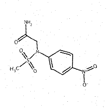 CS(=O)(=O)N(CC(N)=O)c1ccc([N+](=O)[O-])cc1